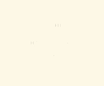 PC1=C(P)C2C=CC1C2